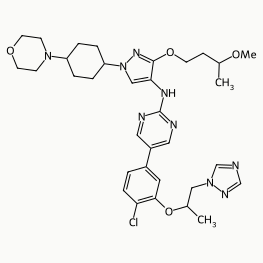 COC(C)CCOc1nn(C2CCC(N3CCOCC3)CC2)cc1Nc1ncc(-c2ccc(Cl)c(OC(C)Cn3cncn3)c2)cn1